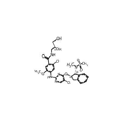 COc1cc(C(=O)NC[C@H](O)CO)c(Cl)cc1Nc1ncc(Cl)c(O[C@@H]2Cc3ccccc3[C@H]2N(C)S(C)(=O)=O)n1